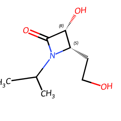 CC(C)N1C(=O)[C@H](O)[C@@H]1CCO